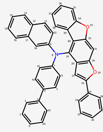 c1ccc(-c2ccc(N(c3ccc4ccccc4c3)c3c4cc(-c5ccccc5)oc4cc4oc5ccccc5c34)cc2)cc1